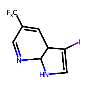 FC(F)(F)C1=CC2C(I)=CNC2N=C1